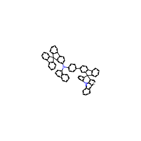 c1ccc2c(c1)-c1ccccc1C21c2ccccc2-c2ccc(N(c3ccc(-c4ccc5c(c4)C4(c6ccccc6-5)c5ccccc5-n5c6ccccc6c6cccc4c65)cc3)c3cccc4ccccc34)cc21